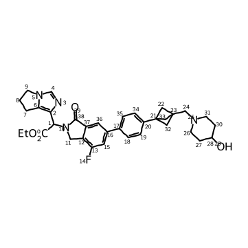 CCOC(=O)C(c1ncn2c1CCC2)N1Cc2c(F)cc(-c3ccc(C45CC(CN6CCC(O)CC6)(C4)C5)cc3)cc2C1=O